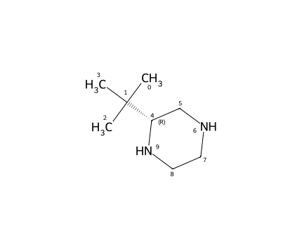 CC(C)(C)[C@@H]1CNCCN1